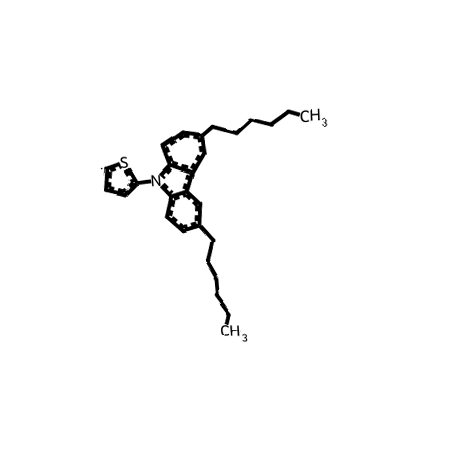 CCCCCCc1ccc2c(c1)c1cc(CCCCCC)ccc1n2-c1cc[c]s1